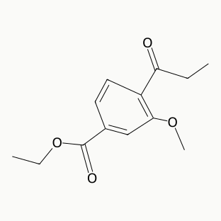 CCOC(=O)c1ccc(C(=O)CC)c(OC)c1